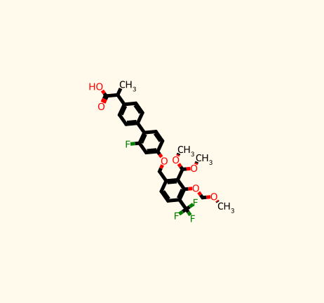 COCOc1c(C(F)(F)F)ccc(COc2ccc(-c3ccc(C(C)C(=O)O)cc3)c(F)c2)c1C(OC)OC